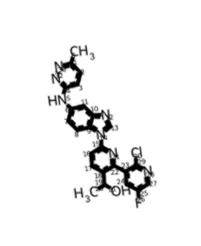 Cc1ccc(Nc2ccc3c(c2)ncn3-c2ccc(C(C)O)c(-c3cc(F)cnc3Cl)n2)nn1